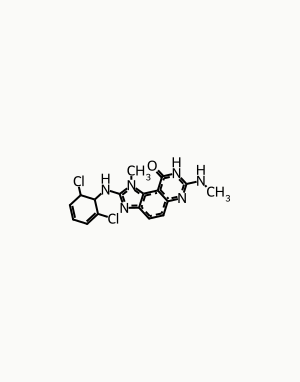 CNc1nc2ccc3nc(NC4C(Cl)=CC=CC4Cl)n(C)c3c2c(=O)[nH]1